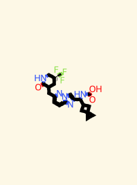 O=C(O)NC(c1cn2nc(CC3C[C@@H](C(F)(F)F)CNC3=O)ccc2n1)C1CC2(CC2)C1